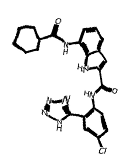 O=C(Nc1ccc(Cl)cc1-c1nnn[nH]1)c1cc2cccc(NC(=O)C3CCCCC3)c2[nH]1